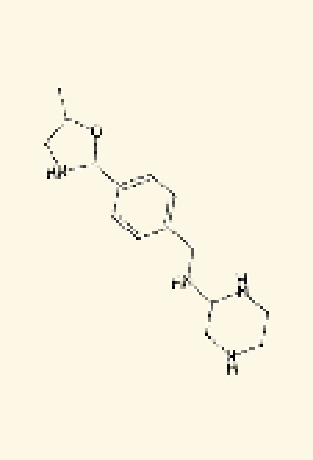 CC1CNC(c2ccc(CNC3CNCCN3)cc2)O1